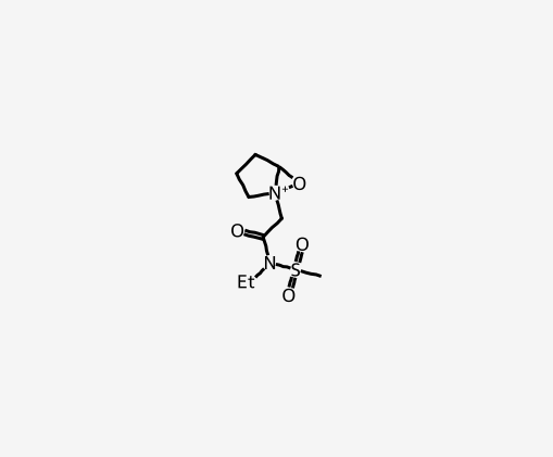 CCN(C(=O)C[N+]12CCCC1O2)S(C)(=O)=O